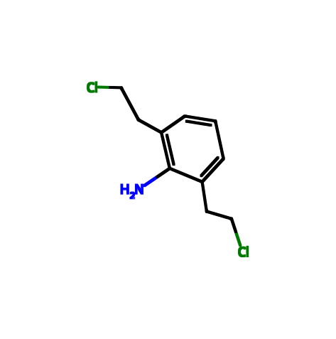 Nc1c(CCCl)cccc1CCCl